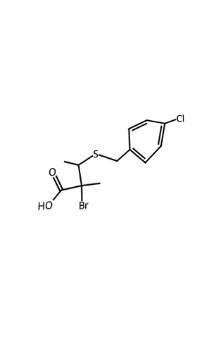 CC(SCc1ccc(Cl)cc1)C(C)(Br)C(=O)O